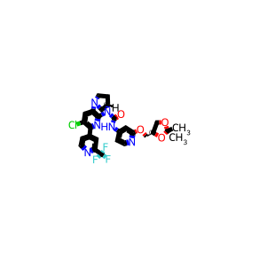 CC1(C)OC[C@@H](COc2cc(NC(=O)N3c4nc(-c5ccnc(C(F)(F)F)c5)c(Cl)cc4N4CC[C@H]3C4)ccn2)O1